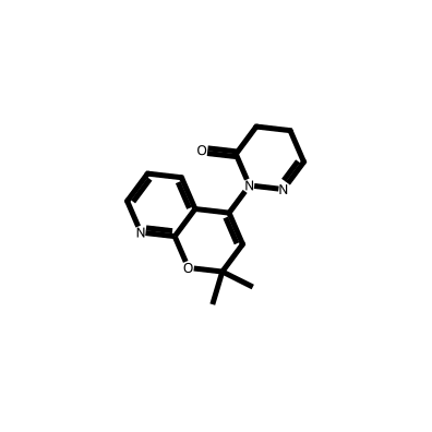 CC1(C)C=C(N2N=CCCC2=O)c2cccnc2O1